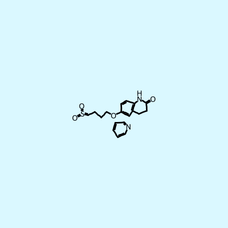 O=C1CCc2cc(OCCCC=S(=O)=O)ccc2N1.c1ccncc1